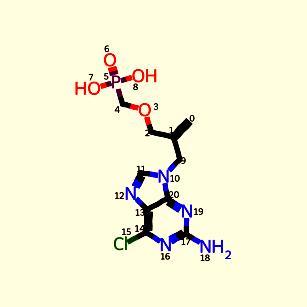 C=C(COCP(=O)(O)O)Cn1cnc2c(Cl)nc(N)nc21